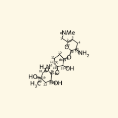 CNCC1=CC[C@@H](N)[C@@H](O[C@@H]2CC[C@@H](N)[C@H](O[C@H]3OC[C@](C)(O)C[C@H]3O)C2O)O1